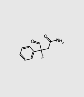 NC(=O)CC(F)(C=O)c1ccccc1